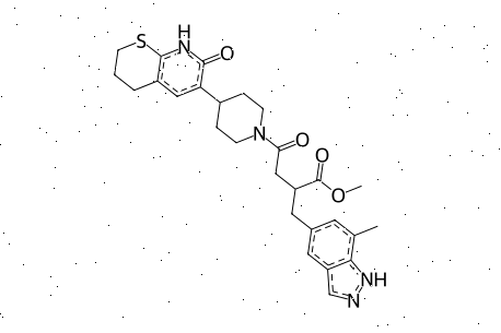 COC(=O)C(CC(=O)N1CCC(c2cc3c([nH]c2=O)SCCC3)CC1)Cc1cc(C)c2[nH]ncc2c1